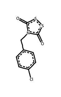 O=c1ssc(=O)n1Cc1ccc(Cl)cc1